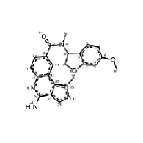 COc1ccc2c(c1)OCC2N(C)C(=O)c1ccc2nc(N)c3cnn(C)c3c2c1